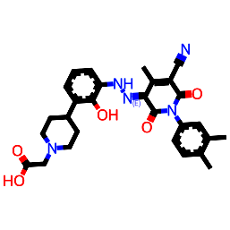 CC1=C(C#N)C(=O)N(c2ccc(C)c(C)c2)C(=O)/C1=N/Nc1cccc(C2CCN(CC(=O)O)CC2)c1O